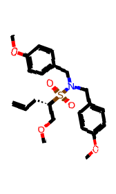 C=CC[C@@H](COC)S(=O)(=O)N(Cc1ccc(OC)cc1)Cc1ccc(OC)cc1